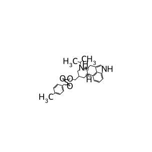 Cc1ccc(S(=O)(=O)OCC2C[C@@H]3c4cccc5[nH]cc(c45)C[C@H]3N(C(C)C)C2)cc1